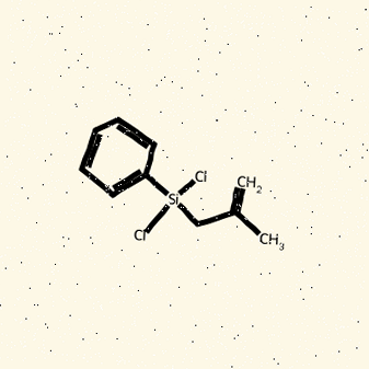 C=C(C)C[Si](Cl)(Cl)c1ccccc1